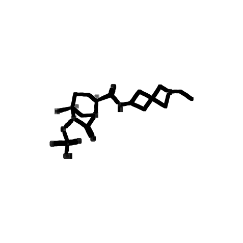 CCN1CC2(CC(NC(=O)[C@@H]3CC[C@@H]4CN3C(=O)N4OS(=O)(=O)O)C2)C1